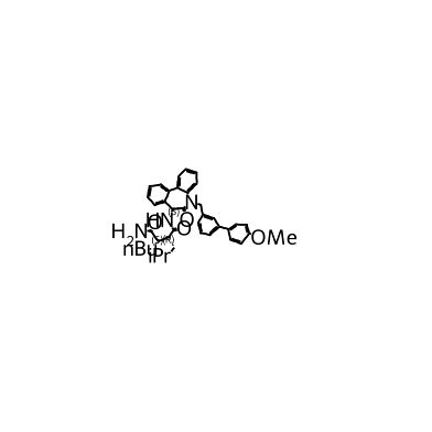 CCCC[C@H](C(N)=O)[C@@H](CC(C)C)C(=O)N[C@@H]1C(=O)N(Cc2cccc(-c3ccc(OC)cc3)c2)c2ccccc2-c2ccccc21